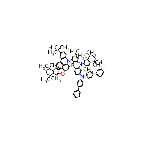 Cc1cc2c3c(c1)N(c1ccc(C(C)(C)C)cc1-c1ccccc1)c1cc4c(cc1B3c1ccc(N(c3ccc(-c5ccccc5)cc3)c3ccc(-c5ccccc5)cc3)cc1N2c1cc2c(cc1C)C(C)(C)CCC2(C)C)oc1cc2c(cc14)C(C)(C)CCC2(C)C